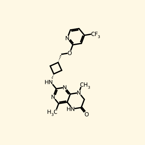 Cc1nc(N[C@H]2C[C@@H](COc3cc(C(F)(F)F)ccn3)C2)nc2c1NC(=O)CN2C